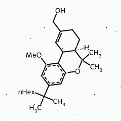 CCCCCCC(C)(C)c1cc(OC)c2c(c1)OC(C)(C)[C@@H]1CCC(CO)=CC21